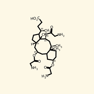 C[C@H](CCC(=O)O)C1CC[C@H]2C[C@H](OC(=O)CN)CC3C[C@H](OC(=O)CN)CCC3(C)[C@H](C)C[C@H](OC(=O)CN)C12C